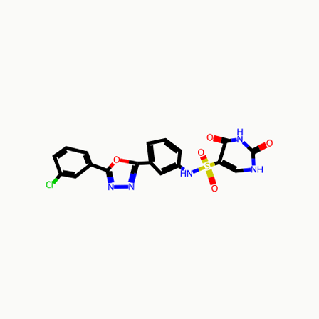 O=c1[nH]cc(S(=O)(=O)Nc2cccc(-c3nnc(-c4cccc(Cl)c4)o3)c2)c(=O)[nH]1